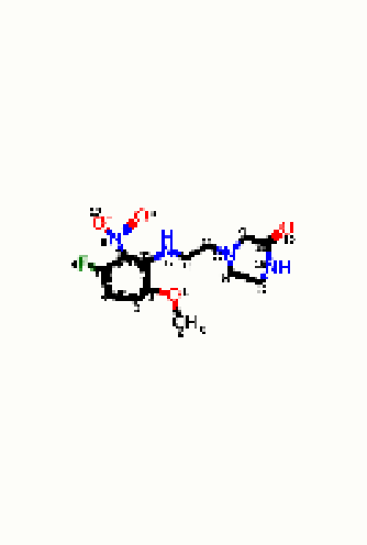 COc1ccc(F)c([N+](=O)[O-])c1NCCN1CCNC(=O)C1